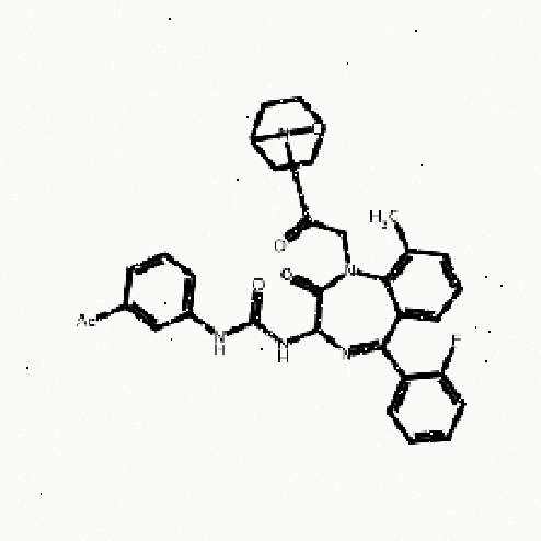 CC(=O)c1cccc(NC(=O)NC2N=C(c3ccccc3F)c3cccc(C)c3N(CC(=O)N3CC4CCC(CC4)C3)C2=O)c1